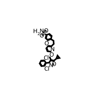 NS(=O)(=O)c1ccc2c(c1)Oc1ccc(OCc3c(-c4c(Cl)cccc4Cl)noc3C3CC3)nc1CC2